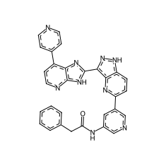 O=C(Cc1ccccc1)Nc1cncc(-c2ccc3[nH]nc(-c4nc5c(-c6ccncc6)ccnc5[nH]4)c3n2)c1